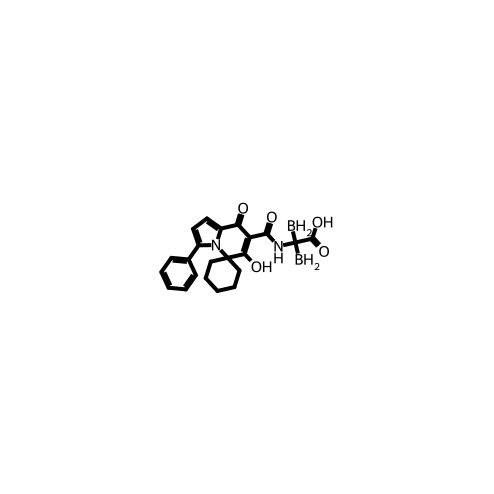 BC(B)(NC(=O)C1=C(O)C2(CCCCC2)n2c(ccc2-c2ccccc2)C1=O)C(=O)O